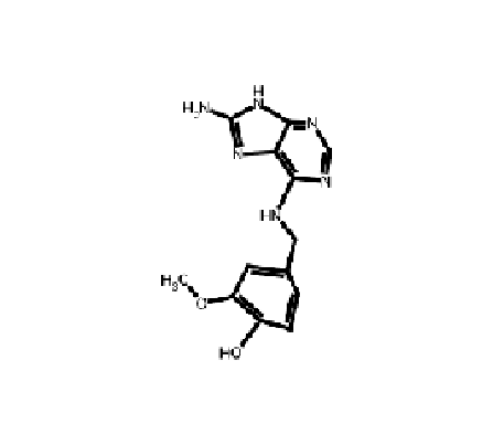 COc1cc(CNc2ncnc3[nH]c(N)nc23)ccc1O